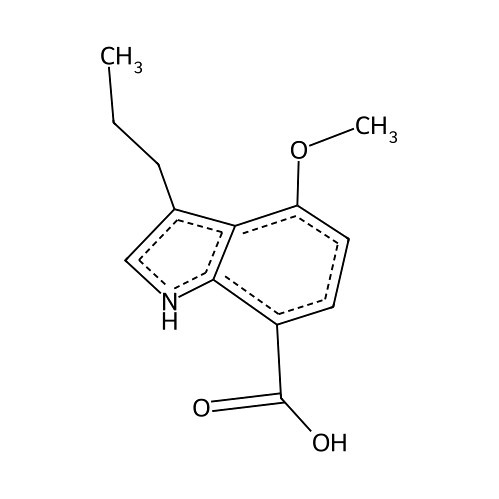 CCCc1c[nH]c2c(C(=O)O)ccc(OC)c12